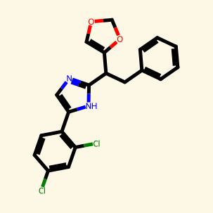 Clc1ccc(-c2cnc(C(Cc3ccccc3)C3=COCO3)[nH]2)c(Cl)c1